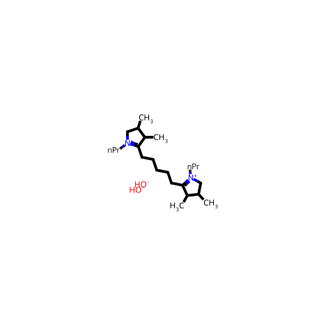 CCC[N+]1=C(CCCCCC2=[N+](CCC)CC(C)C2C)C(C)C(C)C1.[OH-].[OH-]